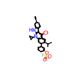 C#Cc1ccc2c(c1)[nH]c1c2c(=O)c2cc(C(C)C)c(-c3cccc(OS(=O)(=O)F)c3)cc2n1C1CC1